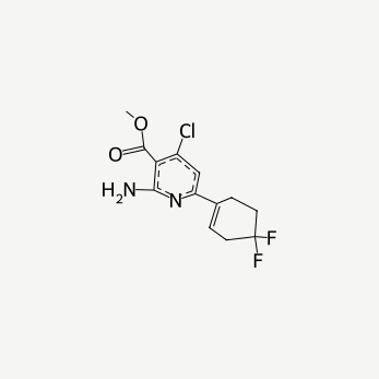 COC(=O)c1c(Cl)cc(C2=CCC(F)(F)CC2)nc1N